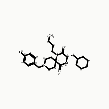 CCCCN1C(=O)[C@H](CC2CCCCC2)NC(=O)C12CCN(Cc1ccc(F)cc1)CC2